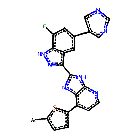 CC(=O)c1ccc(-c2ccnc3[nH]c(-c4n[nH]c5c(F)cc(-c6cncnc6)cc45)nc23)s1